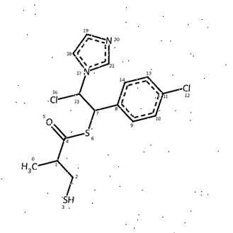 CC(CS)C(=O)SC(c1ccc(Cl)cc1)C(Cl)n1ccnc1